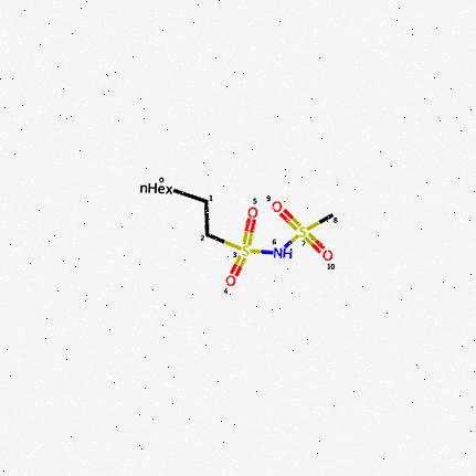 CCCCCCCCS(=O)(=O)NS(C)(=O)=O